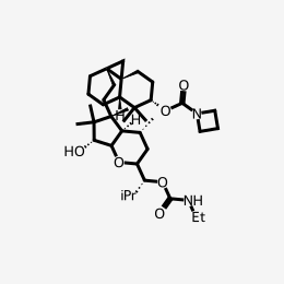 CCNC(=O)O[C@H](C(C)C)C1C[C@@H](C)[C@H]2C(O1)[C@H](O)C(C)(C)[C@]2(C)CC[C@]12CCC[C@H]3C(C)(C)[C@@H](OC(=O)N4CCC4)CC[C@@]31C2